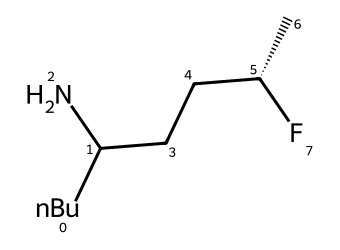 CCCCC(N)CC[C@H](C)F